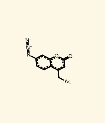 CC(=O)Cc1cc(=O)oc2cc(N=[N+]=[N-])ccc12